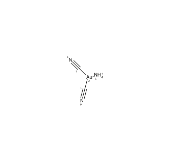 N#[C][Au-][C]#N.[NH4+]